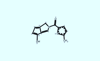 Cc1ccc(C(=O)N2C=C3C(O)=CC=C3C2)s1